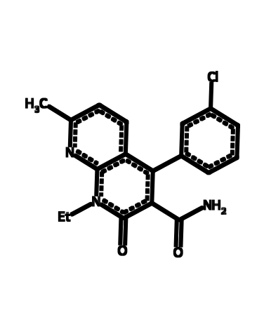 CCn1c(=O)c(C(N)=O)c(-c2cccc(Cl)c2)c2ccc(C)nc21